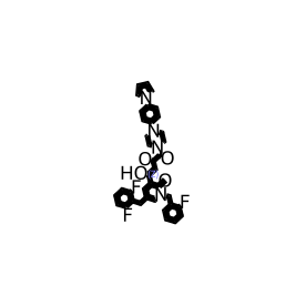 O=C(/C=C(\O)c1cc(Cc2c(F)cccc2F)cn(Cc2ccccc2F)c1=O)C(=O)N1CCN(c2ccc(-n3cccc3)cc2)CC1